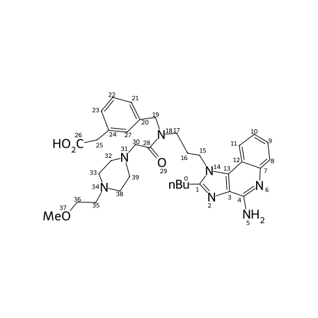 CCCCc1nc2c(N)nc3ccccc3c2n1CCCN(Cc1cccc(CC(=O)O)c1)C(=O)CN1CCN(CCOC)CC1